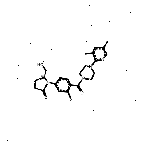 Cc1cnc(N2CCN(C(=O)c3ccc(N4C(=O)CC[C@H]4CO)cc3F)CC2)c(C)c1